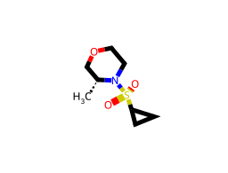 C[C@@H]1COCCN1S(=O)(=O)C1CC1